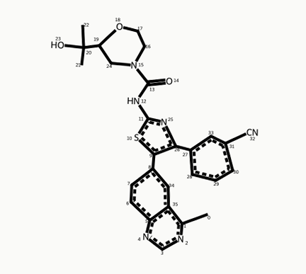 Cc1ncnc2ccc(-c3sc(NC(=O)N4CCOC(C(C)(C)O)C4)nc3-c3cccc(C#N)c3)cc12